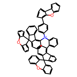 c1ccc2c(c1)Oc1ccccc1C21c2ccccc2-c2c(-c3ccccc3N(c3ccc(-c4cccc5c4oc4ccccc45)cc3)c3cccc4c3-c3ccccc3C43c4ccccc4Oc4ccccc43)cccc21